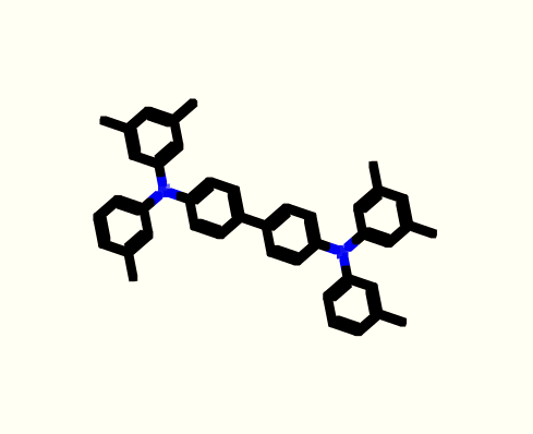 Cc1cccc(N(c2ccc(-c3ccc(N(c4cccc(C)c4)c4cc(C)cc(C)c4)cc3)cc2)c2cc(C)cc(C)c2)c1